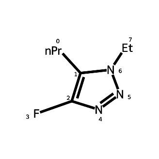 CCCc1c(F)nnn1CC